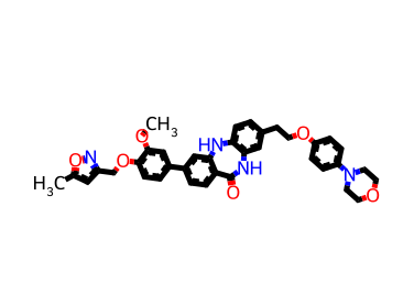 COc1cc(-c2ccc3c(c2)Nc2ccc(CCOc4ccc(N5CCOCC5)cc4)cc2NC3=O)ccc1OCc1cc(C)on1